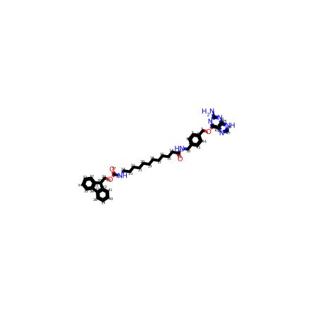 Nc1nc(OCc2ccc(CNC(=O)CCCCCCCCCCCNC(=O)OCC3c4ccccc4-c4ccccc43)cc2)c2nc[nH]c2n1